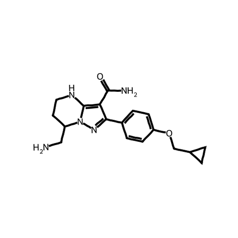 NCC1CCNc2c(C(N)=O)c(-c3ccc(OCC4CC4)cc3)nn21